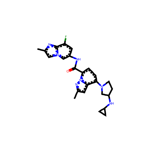 Cc1cn2cc(NC(=O)c3ccc(N4CCC(NC5CC5)C4)c4cc(C)nn34)cc(F)c2n1